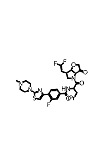 CC(C)CC(NC(=O)c1ccc(-c2csc(N3CCN(C)CC3)n2)c(F)c1)C(=O)N1CC(C=C(F)F)C2OCC(=O)C21